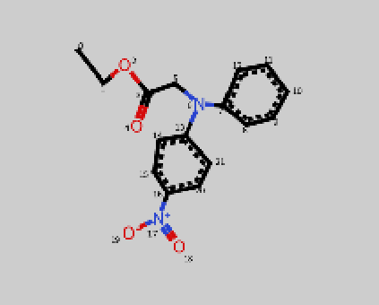 CCOC(=O)CN(c1ccccc1)c1ccc([N+](=O)[O-])cc1